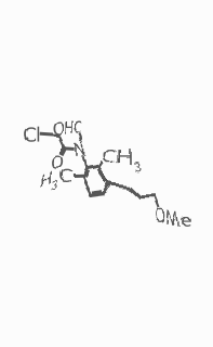 COCCCc1ccc(C)c(N(CC=O)C(=O)CCl)c1C